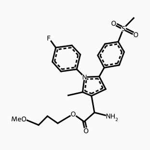 COCCCOC(=O)C(N)c1cc(-c2ccc(S(C)(=O)=O)cc2)n(-c2ccc(F)cc2)c1C